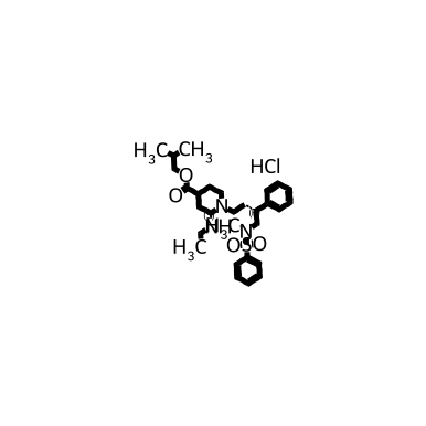 CCN[C@@H]1CC(C(=O)OCC(C)C)CCN1CC[C@@H](CN(C)S(=O)(=O)c1ccccc1)c1ccccc1.Cl